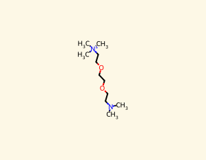 CN(C)CCOCCOCC[N+](C)(C)C